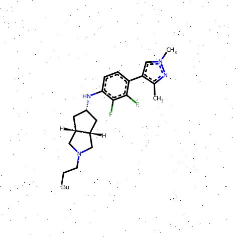 Cc1nn(C)cc1-c1ccc(N[C@@H]2C[C@@H]3CN(CCC(C)(C)C)C[C@@H]3C2)c(F)c1F